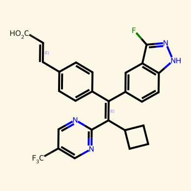 O=C(O)/C=C/c1ccc(/C(=C(\c2ncc(C(F)(F)F)cn2)C2CCC2)c2ccc3[nH]nc(F)c3c2)cc1